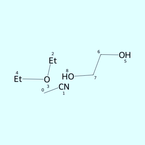 CC#N.CCOCC.OCCO